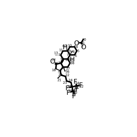 CC(=O)O[C@H]1CC[C@@]2(C)[C@H](C1)C[C@@H](C)C1=C3C(=O)C[C@H]([C@H](C)CCCC(F)(C(F)(F)F)C(F)(F)F)[C@@]3(C)CC[C@@H]12